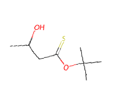 CC(O)CC(=S)OC(C)(C)C